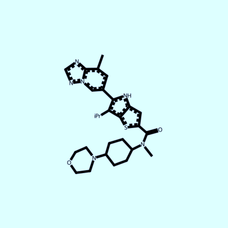 Cc1cc(-c2[nH]c3cc(C(=O)N(C)C4CCC(N5CCOCC5)CC4)sc3c2C(C)C)cn2ncnc12